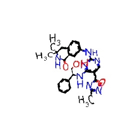 Cc1noc(-c2cnc(Nc3ccc4c(c3)C(=O)NC(C)(C)C4)nc2N[C@H](CO)c2ccccc2)n1